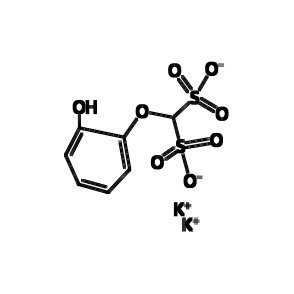 O=S(=O)([O-])C(Oc1ccccc1O)S(=O)(=O)[O-].[K+].[K+]